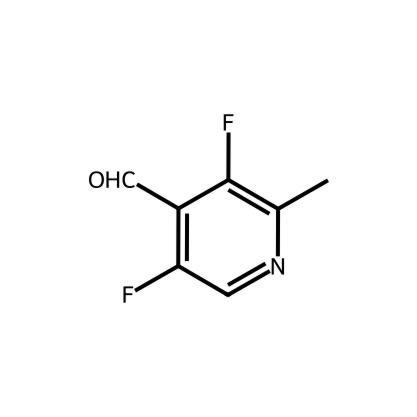 Cc1ncc(F)c(C=O)c1F